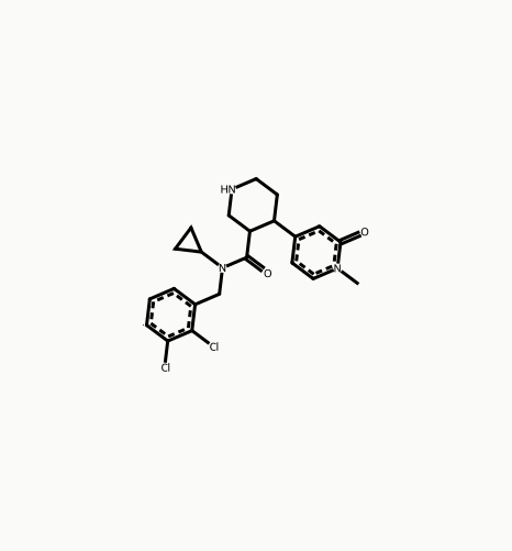 Cn1ccc(C2CCNCC2C(=O)N(Cc2cc[c]c(Cl)c2Cl)C2CC2)cc1=O